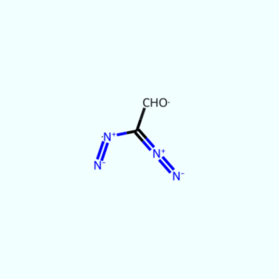 [N-]=[N+]C([C]=O)=[N+]=[N-]